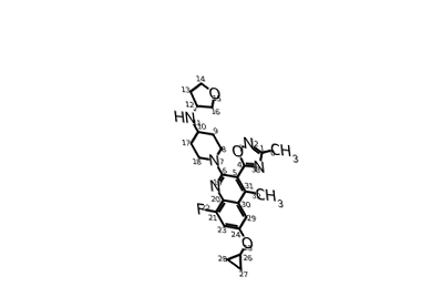 Cc1noc(-c2c(N3CCC(N[C@@H]4CCOC4)CC3)nc3c(F)cc(OC4CC4)cc3c2C)n1